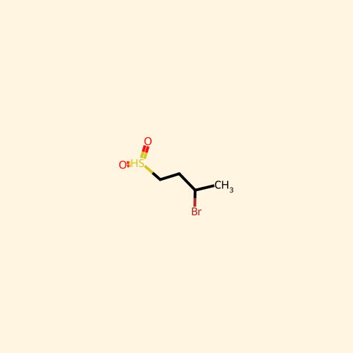 CC(Br)CC[SH](=O)=O